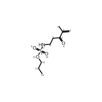 C=C(C)C(=O)CCNS(=O)(=O)OCCC